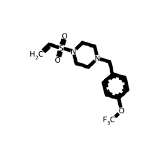 C=CS(=O)(=O)N1CCN(Cc2ccc(OC(F)(F)F)cc2)CC1